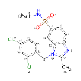 CCCCCNS(=O)(=O)c1ccc2nc(C)n(Cc3ccc(Cl)cc3Cl)c2c1